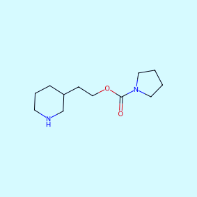 O=C(OCCC1CCCNC1)N1CCCC1